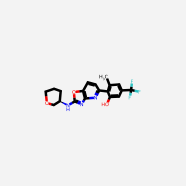 Cc1cc(C(F)(F)F)cc(O)c1-c1ccc2oc(N[C@@H]3CCCOC3)nc2n1